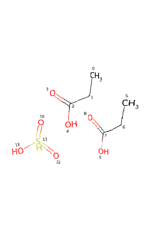 CCC(=O)O.CCC(=O)O.O=[SH](=O)O